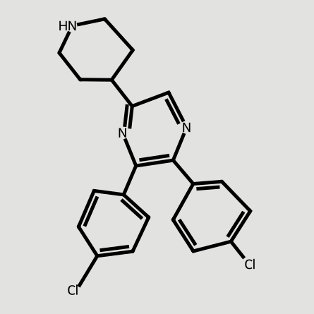 Clc1ccc(-c2ncc(C3CCNCC3)nc2-c2ccc(Cl)cc2)cc1